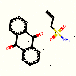 C=CCS(N)(=O)=O.O=C1c2ccccc2C(=O)c2ccccc21